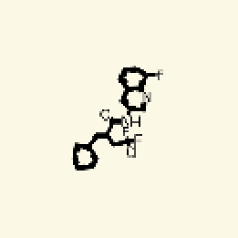 O=C(Nc1cnc2c(F)cccc2c1)C(Cc1ccccc1)CC(F)(F)Cl